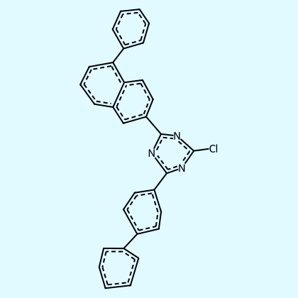 Clc1nc(-c2ccc(-c3ccccc3)cc2)nc(-c2ccc3c(-c4ccccc4)cccc3c2)n1